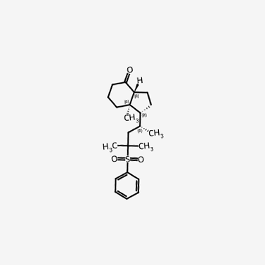 C[C@H](CC(C)(C)S(=O)(=O)c1ccccc1)[C@H]1CC[C@H]2C(=O)CCC[C@]12C